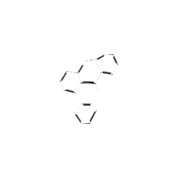 c1ccc(Pc2c3ccccc3pc3ccccc23)cc1